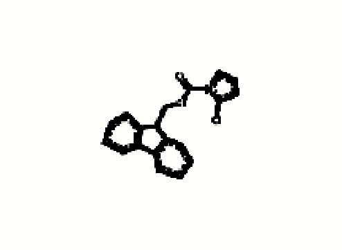 O=C(OCC1c2ccccc2-c2ccccc21)n1cccc1Cl